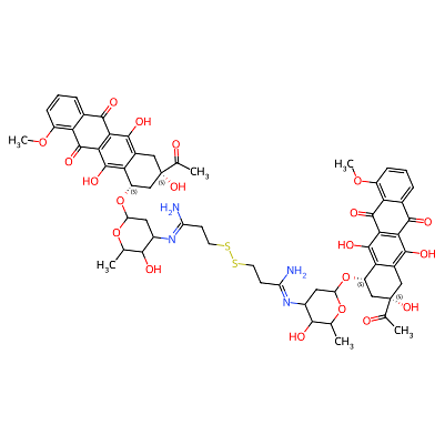 COc1cccc2c1C(=O)c1c(O)c3c(c(O)c1C2=O)C[C@@](O)(C(C)=O)C[C@@H]3OC1CC(N=C(N)CCSSCCC(N)=NC2CC(O[C@H]3C[C@](O)(C(C)=O)Cc4c(O)c5c(c(O)c43)C(=O)c3c(OC)cccc3C5=O)OC(C)C2O)C(O)C(C)O1